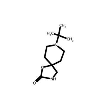 CC(C)(C)N1CCC2(CC1)CNC(=O)O2